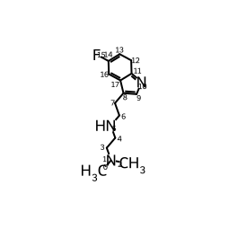 CN(C)CCNCCC1=CN=C2CC=C(F)C=C12